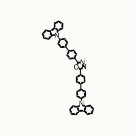 c1ccc2c(c1)c1ccccc1n2-c1ccc(-c2ccc(-c3nnc(-c4ccc(-c5ccc(-n6c7ccccc7c7ccccc76)cc5)cc4)o3)cc2)cc1